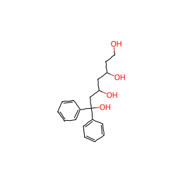 OCCC(O)CC(O)CC(O)(c1ccccc1)c1ccccc1